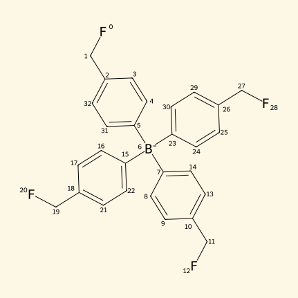 FCc1ccc([B-](c2ccc(CF)cc2)(c2ccc(CF)cc2)c2ccc(CF)cc2)cc1